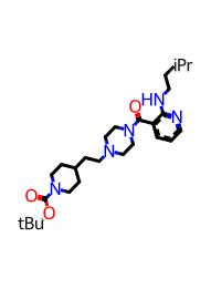 CC(C)CCNc1ncccc1C(=O)N1CCN(CCC2CCN(C(=O)OC(C)(C)C)CC2)CC1